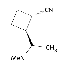 CNC(C)[C@H]1CC[C@@H]1C#N